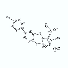 CC(C)C(C(N1CCc2ccc(-c3ccc(F)cc3)cc2C1)=S(=O)=O)N(O)C=O